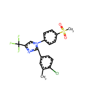 Cc1cc(-c2nc(C(F)(F)F)cn2-c2ccc(S(C)(=O)=O)cc2)ccc1Cl